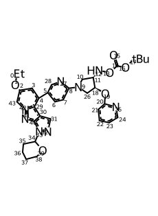 CCOc1cc(-c2ccc(N3C[C@H](NOC(=O)OC(C)(C)C)[C@@H](Oc4ccccn4)C3)nc2)c2c3cnn(C4CCCCO4)c3nn2c1